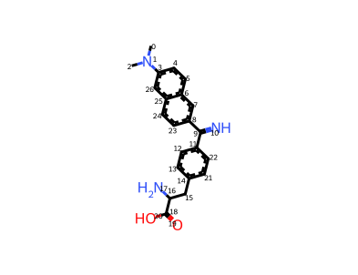 CN(C)c1ccc2cc(C(=N)c3ccc(CC(N)C(=O)O)cc3)ccc2c1